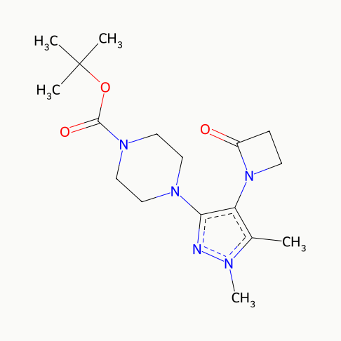 Cc1c(N2CCC2=O)c(N2CCN(C(=O)OC(C)(C)C)CC2)nn1C